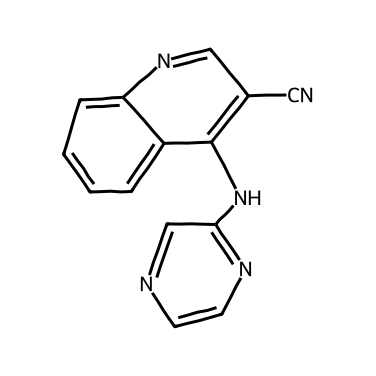 N#Cc1cnc2ccccc2c1Nc1cnccn1